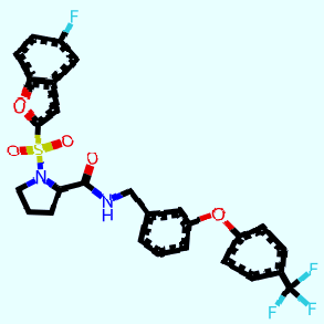 O=C(NCc1cccc(Oc2ccc(C(F)(F)F)cc2)c1)C1CCCN1S(=O)(=O)c1cc2cc(F)ccc2o1